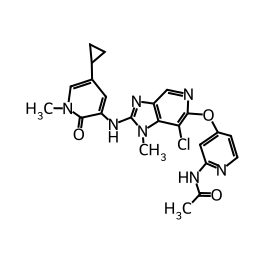 CC(=O)Nc1cc(Oc2ncc3nc(Nc4cc(C5CC5)cn(C)c4=O)n(C)c3c2Cl)ccn1